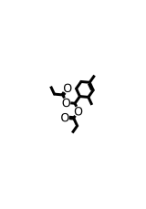 CCC(=O)OC(OC(=O)CC)C1CCC(C)=CC1C